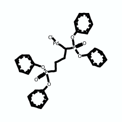 O=P(CCC[CH]([Pd][Cl])P(=O)(Oc1ccccc1)Oc1ccccc1)(Oc1ccccc1)Oc1ccccc1